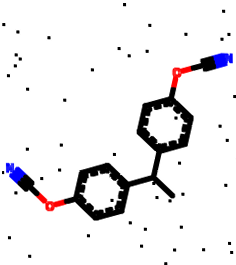 CC(c1ccc(OC#N)cc1)c1ccc(OC#N)cc1